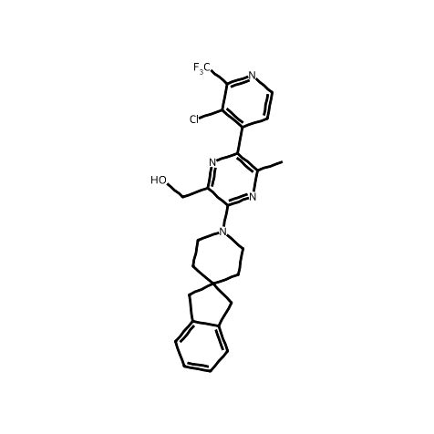 Cc1nc(N2CCC3(CC2)Cc2ccccc2C3)c(CO)nc1-c1ccnc(C(F)(F)F)c1Cl